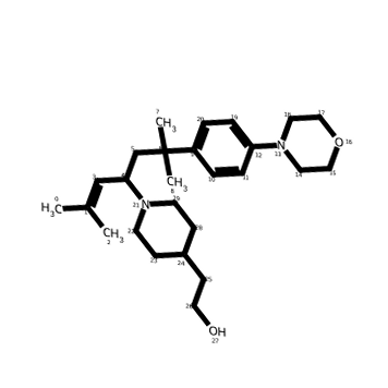 CC(C)=CC(CC(C)(C)c1ccc(N2CCOCC2)cc1)N1CCC(CCO)CC1